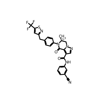 C[C@H]1Cn2ncc(C(=O)Nc3cccc(C#N)c3)c2C(=O)N1c1ccc(Cc2cc(C(F)(F)F)sn2)cc1